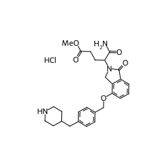 COC(=O)CCC(C(N)=O)N1Cc2c(OCc3ccc(CC4CCNCC4)cc3)cccc2C1=O.Cl